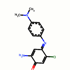 CN(C)c1ccc(N=C2C=C(N)C(=O)C=C2Cl)cc1